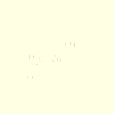 C1CCOC1.C[CH2][Zn][CH2]C